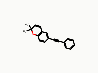 CC1(C)C=Cc2cc(C#Cc3ccccc3)ccc2O1